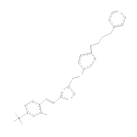 Fc1cc(C(F)(F)F)ccc1/C=C/c1nc(COc2ccc(CCCCc3ccncc3)cc2)co1